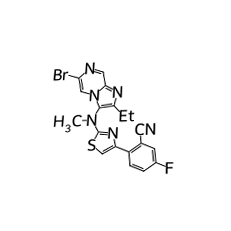 CCc1nc2cnc(Br)cn2c1N(C)c1nc(-c2ccc(F)cc2C#N)cs1